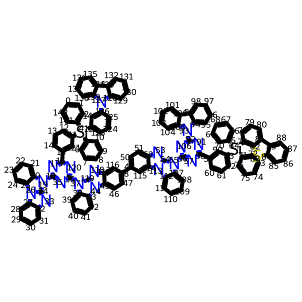 c1ccc([Si](c2ccccc2)(c2cccc(-c3nc(-n4c5ccccc5n5c6ccccc6nc45)nc(-n4c5ccccc5n5c6ccc(-c7ccc8nc9n(-c%10nc(-c%11cccc([Si](c%12ccccc%12)(c%12ccccc%12)c%12cccc%13c%12sc%12ccccc%12%13)c%11)nc(-n%11c%12ccccc%12c%12ccccc%12%11)n%10)c%10ccccc%10n9c8c7)cc6nc45)n3)c2)c2cccc(-n3c4ccccc4c4ccccc43)c2)cc1